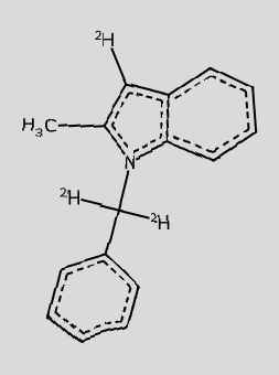 [2H]c1c(C)n(C([2H])([2H])c2ccccc2)c2ccccc12